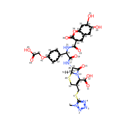 Cn1nnnc1SCC1=C(C(=O)O)N2C(=O)[C@@H](NC(=O)C(NC(=O)c3cc4cc(O)c(O)cc4oc3=O)c3ccc(OCC(=O)O)cc3)[C@@H]2SC1